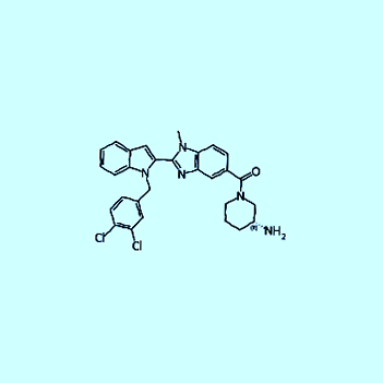 Cn1c(-c2cc3ccccc3n2Cc2ccc(Cl)c(Cl)c2)nc2cc(C(=O)N3CCC[C@@H](N)C3)ccc21